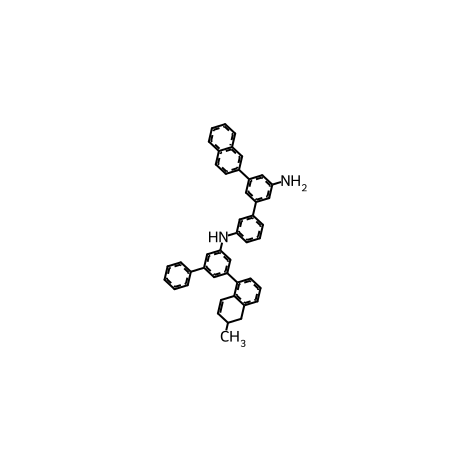 CC1C=Cc2c(cccc2-c2cc(Nc3cccc(-c4cc(N)cc(-c5ccc6ccccc6c5)c4)c3)cc(-c3ccccc3)c2)C1